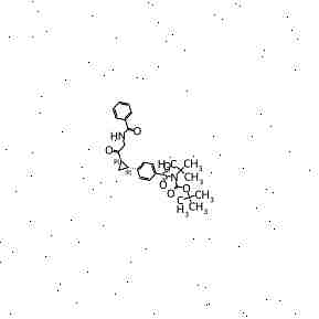 CC(C)(C)OC(=O)N(C(C)(C)C)S(=O)(=O)c1ccc([C@@H]2C[C@H]2C(=O)CNC(=O)c2ccccc2)cc1